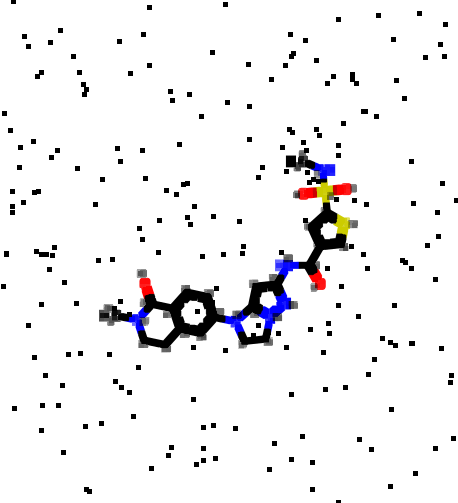 CNS(=O)(=O)c1cc(C(=O)Nc2cc3n(n2)CCN3c2ccc3c(c2)CCN(C)C3=O)cs1